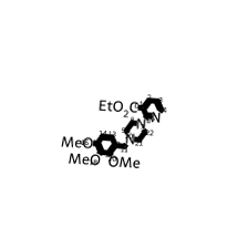 CCOC(=O)c1cccnc1N1CCN(Cc2ccc(OC)c(OC)c2OC)CC1